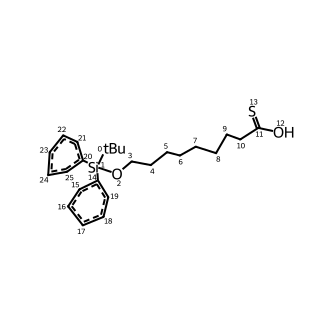 CC(C)(C)[Si](OCCCCCCCCC(O)=S)(c1ccccc1)c1ccccc1